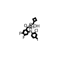 O=C(NOC(O)C1CCC1)c1cc(F)c(F)cc1Nc1ccc(I)cc1Cl